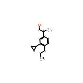 [CH2]C(CO)c1ccc(CCC)c(C2CC2)c1